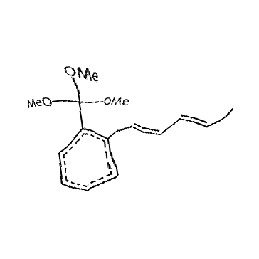 CC=CC=Cc1ccccc1C(OC)(OC)OC